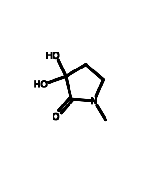 CN1CCC(O)(O)C1=O